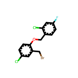 Fc1ccc(COc2ccc(Cl)cc2CBr)c(Cl)c1